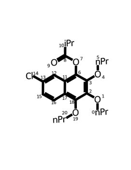 CCCOc1c(OCCC)c(OC(=O)C(C)C)c2cc(Cl)ccc2c1OCCC